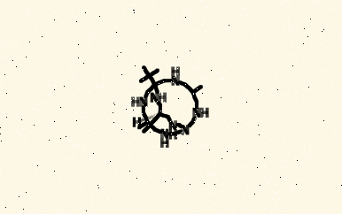 CC1CNCN2CNCC(C)CNCC(C(C)(C)C)(CNC1)CNC[C@H](C)CNC2